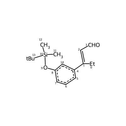 CCC(=CC=O)c1cccc(O[Si](C)(C)C(C)(C)C)c1